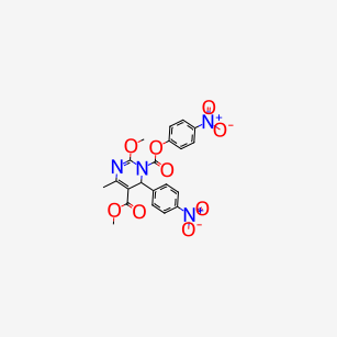 COC(=O)C1=C(C)N=C(OC)N(C(=O)Oc2ccc([N+](=O)[O-])cc2)C1c1ccc([N+](=O)[O-])cc1